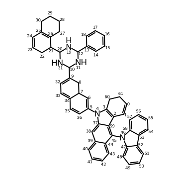 C1=Cc2c(n(C3=CC4CC(C5NC(c6ccccc6)NC(C6CC=CC7=C6CCCC7)N5)=CC=C4C=C3)c3cc4ccccc4c(-n4c5ccccc5c5ccccc54)c23)CC1